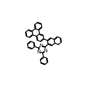 C1=CCC2C=C(c3nc(-c4ccccc4)nc(-c4ccccc4)n3)C(c3ccc4c5ccccc5c5ccccc5c4c3)=CC2=C1